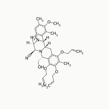 C=CCOc1c(C)c(OCC=C)c(OCC=C)c2c1C[C@H]1[C@H]3c4c(cc(C)c(OC)c4C)C[C@H]([C@H](C#N)N1[C@H]2CO)N3C